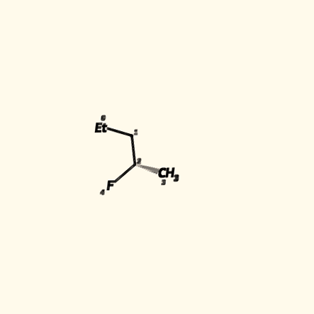 [CH2]CC[C@H](C)F